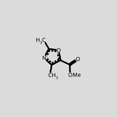 COC(=O)c1oc(C)nc1C